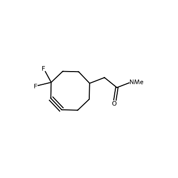 CNC(=O)CC1CCC#CC(F)(F)CC1